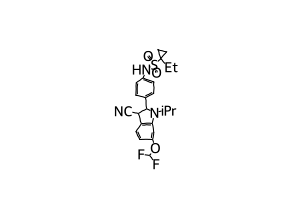 CCC1(S(=O)(=O)Nc2ccc(C3C(C#N)c4ccc(OC(F)F)cc4N3C(C)C)cc2)CC1